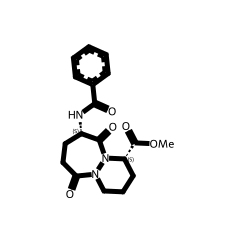 COC(=O)[C@@H]1CCCN2C(=O)CC[C@H](NC(=O)c3ccccc3)C(=O)N12